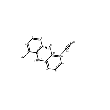 Cc1ccccc1Nc1cccc(C#N)c1N